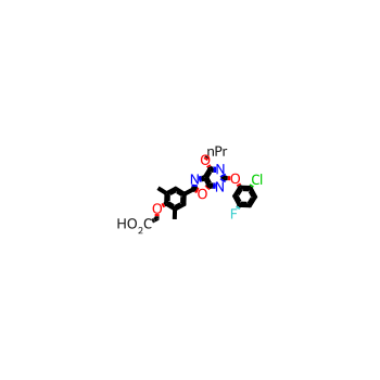 CCCOc1nc(Oc2cc(F)ccc2Cl)nc2oc(-c3cc(C)c(OCC(=O)O)c(C)c3)nc12